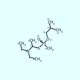 CCN(CC)C(C)SP(C)(=O)OCC(C)C